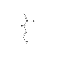 CCCC=CNC(=O)S